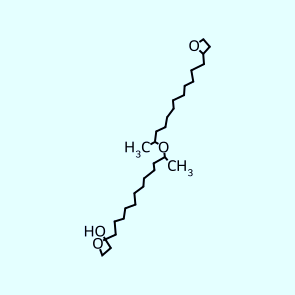 CC(CCCCCCCCCCC1CCO1)OC(C)CCCCCCCCCCC1(O)CCO1